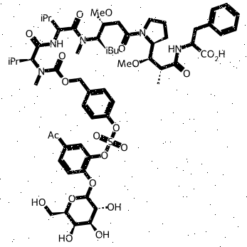 CC[C@H](C)C([C@@H](CC(=O)N1CCC[C@H]1[C@H](OC)[C@@H](C)C(=O)NC(Cc1ccccc1)C(=O)O)OC)N(C)C(=O)C(NC(=O)[C@H](C(C)C)N(C)C(=O)OCc1ccc(OS(=O)(=O)Oc2cc(C(C)=O)ccc2OC2O[C@H](CO)[C@H](O)[C@H](O)[C@H]2O)cc1)C(C)C